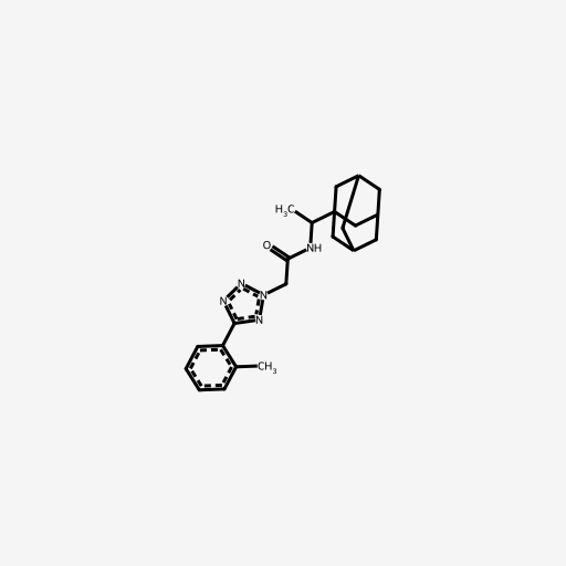 Cc1ccccc1-c1nnn(CC(=O)NC(C)C23CC4CC(CC(C4)C2)C3)n1